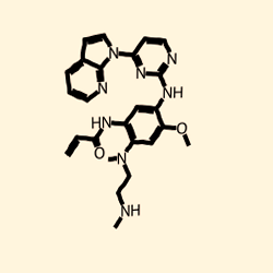 C=CC(=O)Nc1cc(Nc2nccc(-n3ccc4cccnc43)n2)c(OC)cc1N(C)CCNC